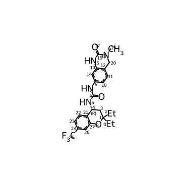 CCC1(CC)C[C@@H](NC(=O)Nc2ccc3c(c2)NC(=O)N(C)C3)c2ccc(C(F)(F)F)cc2O1